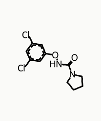 O=C(NOc1cc(Cl)cc(Cl)c1)N1CCCC1